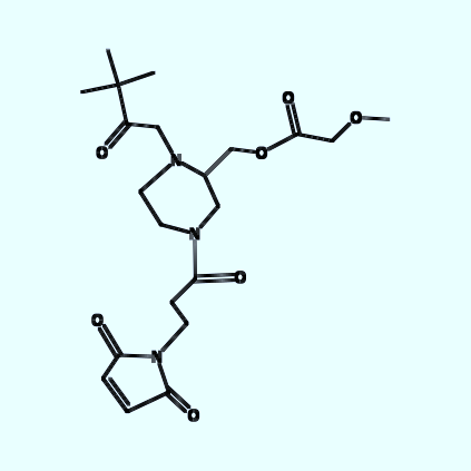 COCC(=O)OCC1CN(C(=O)CCN2C(=O)C=CC2=O)CCN1CC(=O)C(C)(C)C